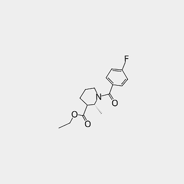 CCOC(=O)C1CCCN(C(=O)c2ccc(F)cc2)[C@@H]1C